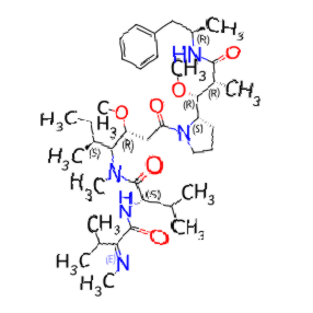 CC[C@H](C)C([C@@H](CC(=O)N1CCC[C@H]1[C@H](OC)[C@@H](C)C(=O)N[C@H](C)Cc1ccccc1)OC)N(C)C(=O)[C@@H](NC(=O)/C(=N/C)C(C)C)C(C)C